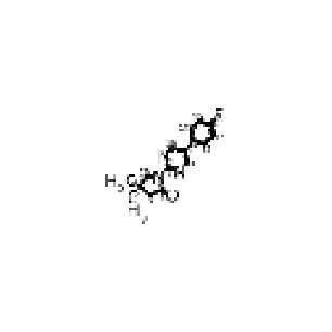 CC1(C)CC(=O)N(c2ncc(-c3ccc(F)cc3)cn2)C1